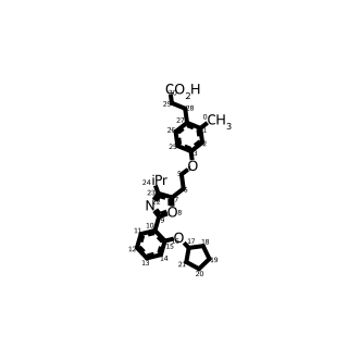 Cc1cc(OCCc2oc(-c3ccccc3OC3CCCC3)nc2C(C)C)ccc1CCC(=O)O